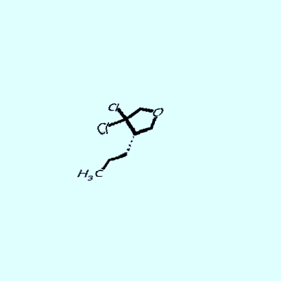 CCC[C@H]1COCC1(Cl)Cl